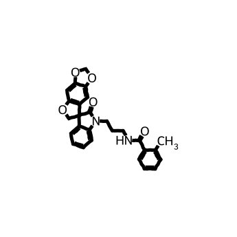 Cc1ccccc1C(=O)NCCCN1C(=O)C2(COc3cc4c(cc32)OCO4)c2ccccc21